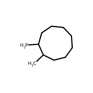 CC1CCCCCCCC1P